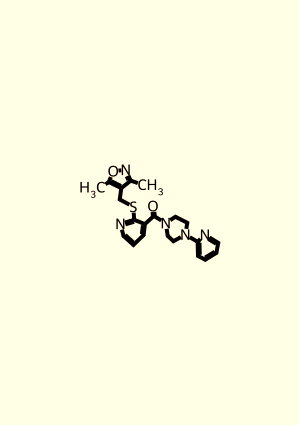 Cc1noc(C)c1CSc1ncccc1C(=O)N1CCN(c2ccccn2)CC1